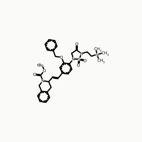 CC(C)(C)OC(=O)N1Cc2ccccc2CC1C=Cc1ccc(N2CC(=O)N(CC[Si](C)(C)C)S2(=O)=O)c(OCc2ccccc2)c1